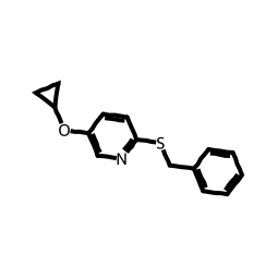 c1ccc(CSc2ccc(OC3CC3)cn2)cc1